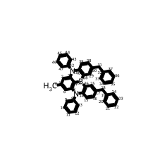 Cc1cc2c3c(c1)N(c1ccccc1)c1ccc(Cc4ccccc4)cc1B3c1cc(Cc3ccccc3)ccc1N2c1ccccc1